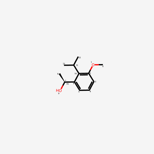 COc1cccc([C@H](C)O)c1C(C)C